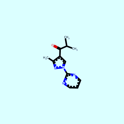 Cc1nn(-c2ncccn2)cc1C(=O)C(C)C